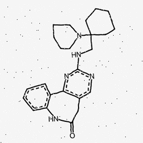 O=C1Cc2cnc(NCC3(N4CCCCC4)CCCCC3)nc2-c2ccccc2N1